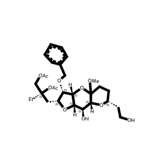 CC[C@@](COC(C)=O)(C[C@H]1O[C@H]2[C@H](O)[C@H]3O[C@@H](CCO)CCC3(OC)O[C@H]2[C@H]1OCc1ccccc1)OC(C)=O